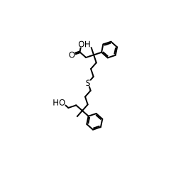 CC(CCO)(CCCSCCCC(C)(CC(=O)O)c1ccccc1)c1ccccc1